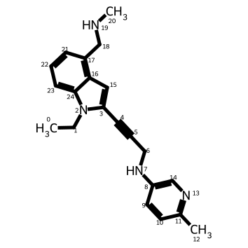 CCn1c(C#CCNc2ccc(C)nc2)cc2c(CNC)cccc21